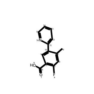 Cc1cc(F)c(C(=O)O)cc1-c1ccccn1